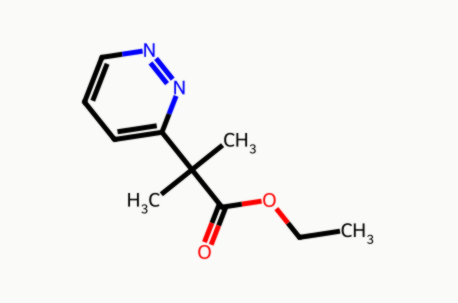 CCOC(=O)C(C)(C)c1cccnn1